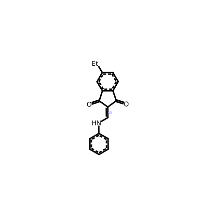 CCc1ccc2c(c1)C(=O)/C(=C\Nc1ccccc1)C2=O